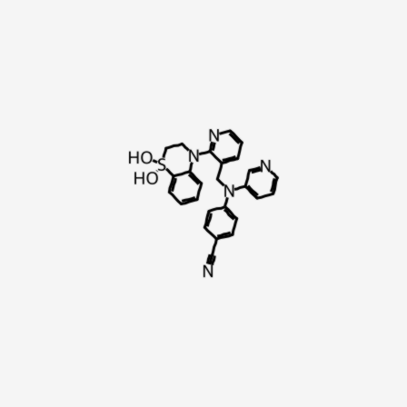 N#Cc1ccc(N(Cc2cccnc2N2CCS(O)(O)c3ccccc32)c2cccnc2)cc1